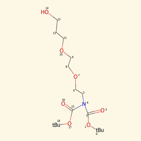 CC(C)(C)OC(=O)N(CCOCCOCCCO)C(=O)OC(C)(C)C